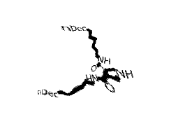 CCCCCCCCCCCCCCCCNC(=O)C1CNC[C@H]1C(=O)NCCCCCCCCCCCCCCCC